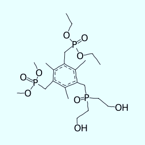 CCOP(=O)(Cc1c(C)c(CP(=O)(CCO)CCO)c(C)c(CP(=O)(OC)OC)c1C)OCC